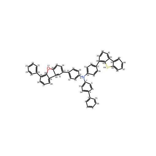 c1ccc(-c2ccc(N(c3ccc(-c4ccc5oc6c(-c7ccccc7)cccc6c5c4)cc3)c3ccc(-c4cccc5c4sc4ccccc45)cc3)cc2)cc1